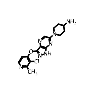 Cc1nccc(Oc2n[nH]c3nc(N4CCC(N)CC4)cnc23)c1Cl